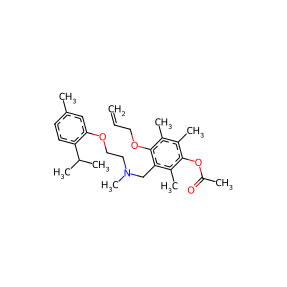 C=CCOc1c(C)c(C)c(OC(C)=O)c(C)c1CN(C)CCOc1cc(C)ccc1C(C)C